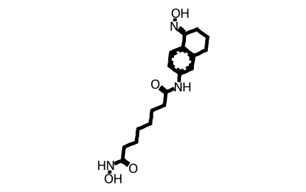 O=C(CCCCCCC(=O)Nc1ccc2c(c1)CCC/C2=N\O)NO